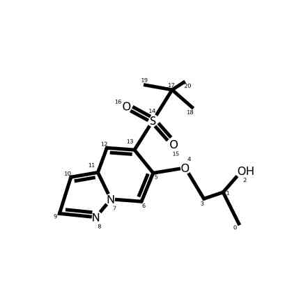 CC(O)COc1cn2nccc2cc1S(=O)(=O)C(C)(C)C